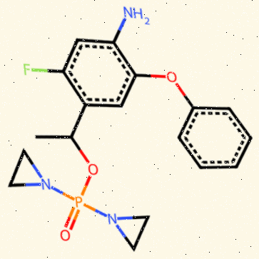 CC(OP(=O)(N1CC1)N1CC1)c1cc(Oc2ccccc2)c(N)cc1F